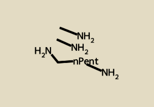 CCCCCCN.CN.CN.CN